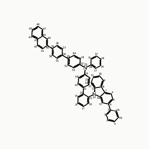 c1ccc(-c2ccc3c4ccccc4n(-c4ccccc4-c4ccc(N(c5ccccc5)c5ccc(-c6ccc(-c7ccc8ccccc8c7)cc6)cc5)cc4)c3c2)cc1